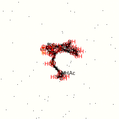 B[C@H]1C[C@H](O[PH](=O)O)[C@@H](CCP(=O)(O)OCC(COCCCOP(=O)(O)OCCCCCCO[C@@H]2OC(CO)[C@H](O)C(O)[C@@H]2NC(C)=O)(COCCCOP(=O)(O)OCCCCCCO[C@@H]2OC(CO)[C@H](O)C(O)[C@@H]2NC(C)=O)COCOP(=O)(O)OCCCCCCO[C@@H]2OC(CO)[C@H](O)C(O)[C@@H]2NC(C)=O)O1